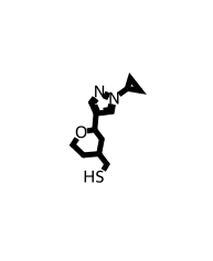 SCC1CCOC(c2cnn(C3CC3)c2)C1